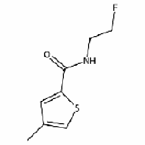 Cc1csc(C(=O)NCCF)c1